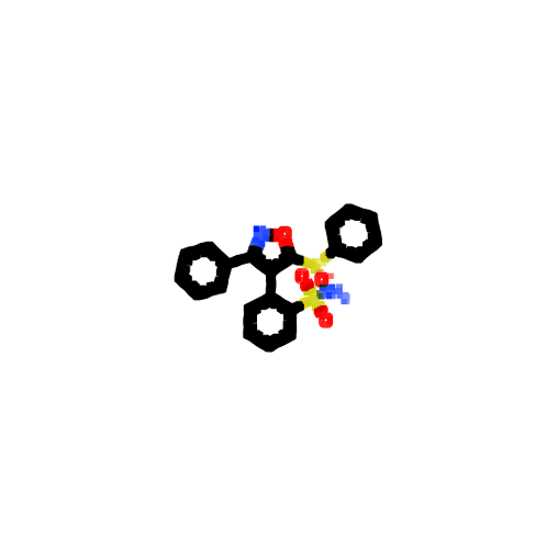 NS(=O)(=O)c1ccccc1-c1c(-c2ccccc2)noc1[S+]([O-])c1ccccc1